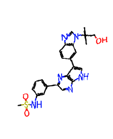 CC(C)(CO)n1cnc2ccc(-c3c[nH]c4ncc(-c5cccc(NS(C)(=O)=O)c5)nc34)cc21